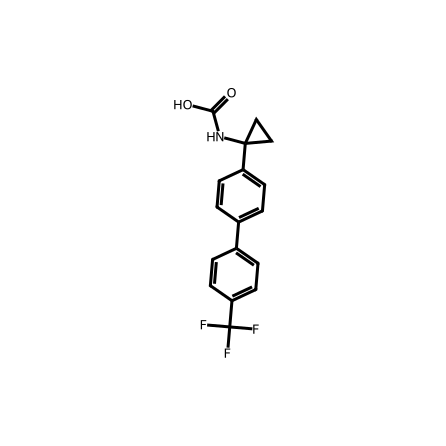 O=C(O)NC1(c2ccc(-c3ccc(C(F)(F)F)cc3)cc2)CC1